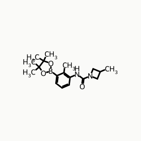 Cc1c(NC(=O)N2CC(C)C2)cccc1B1OC(C)(C)C(C)(C)O1